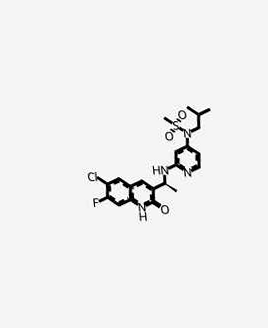 CC(C)CN(c1ccnc(N[C@@H](C)c2cc3cc(Cl)c(F)cc3[nH]c2=O)c1)S(C)(=O)=O